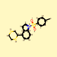 Cc1ccc(S(=O)(=O)n2ccc3c(C4CSCCS4)cccc32)cc1